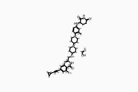 O=C1CCC(Nc2ccc(N3CCC(N4CCC(SCc5nc6cc(C#CC7CC7)cc(F)c6c(=O)[nH]5)CC4)CC3)c(F)c2)C(=O)N1.O=CO